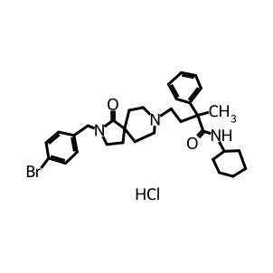 CC(CCN1CCC2(CC1)CCN(Cc1ccc(Br)cc1)C2=O)(C(=O)NC1CCCCC1)c1ccccc1.Cl